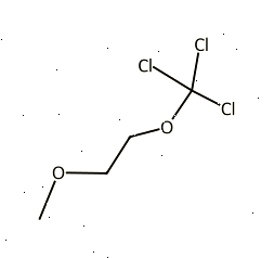 COCCOC(Cl)(Cl)Cl